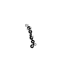 CCc1cnc(N2CCC(COc3ccc(C4=CCC(C(=O)N5CCCCC5)CC4)cn3)CC2)nc1